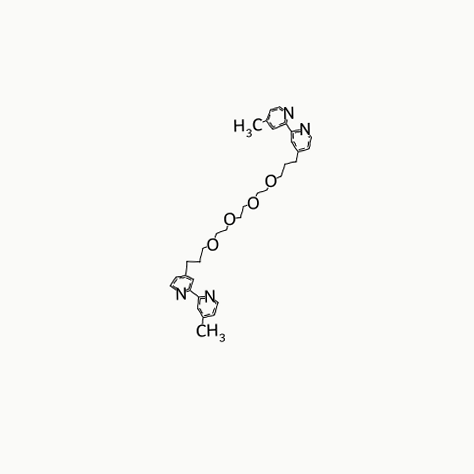 Cc1ccnc(-c2cc(CCCOCCOCCOCCOCCCc3ccnc(-c4cc(C)ccn4)c3)ccn2)c1